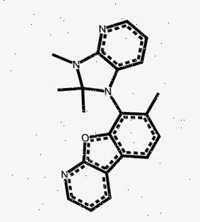 Cc1ccc2c(oc3ncccc32)c1N1c2cccnc2N(C)C1(C)C